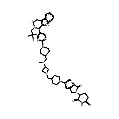 C[C@@H]1Cc2c([nH]c3ccccc23)[C@@H](c2cnc(N3CCC(CN(C)C4CN(CC5CCN(c6ccc7c(c6)CN(C6CCC(=O)NC6=O)C7=O)CC5)C4)CC3)nc2)N1CC(C)(C)F